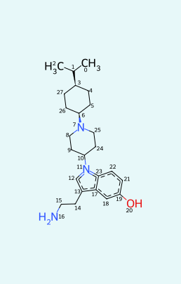 CC(C)[C@H]1CC[C@@H](N2CCC(n3cc(CCN)c4cc(O)ccc43)CC2)CC1